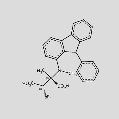 CCC[C@H](C(=O)O)[C@@](C)(C(=O)O)N(C)c1cccc2c1C(c1ccccc1)c1ccccc1-2